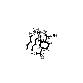 CCCCNN.CCCCNN.O=C(O)c1ccc(C(=O)O)cc1